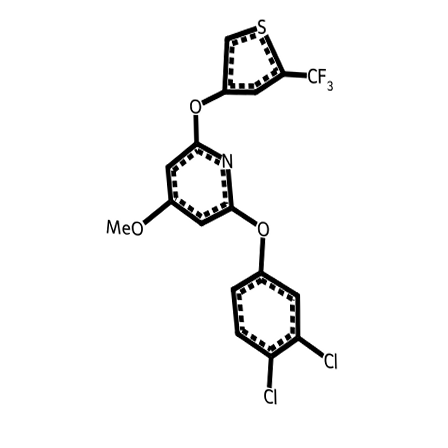 COc1cc(Oc2csc(C(F)(F)F)c2)nc(Oc2ccc(Cl)c(Cl)c2)c1